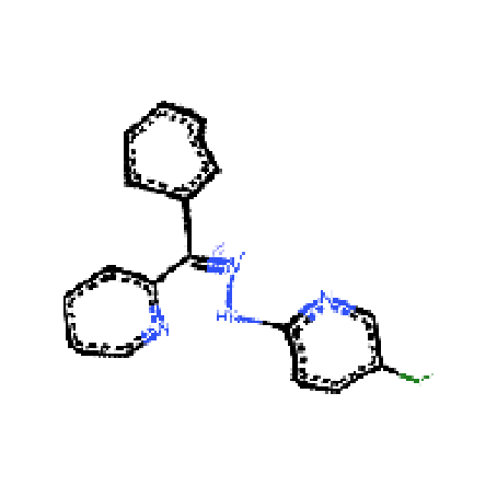 Clc1ccc(N/N=C(/c2ccccc2)c2ccccn2)nc1